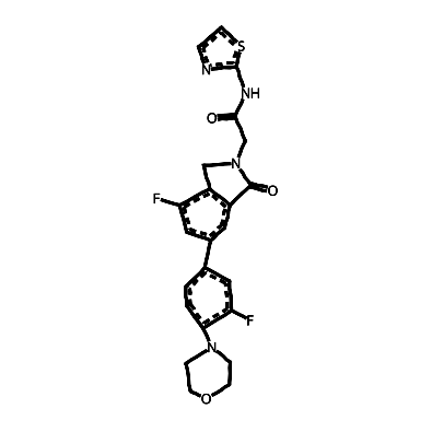 O=C(CN1Cc2c(F)cc(-c3ccc(N4CCOCC4)c(F)c3)cc2C1=O)Nc1nccs1